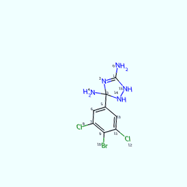 NC1=NC(N)(c2cc(Cl)c(Br)c(Cl)c2)NN1